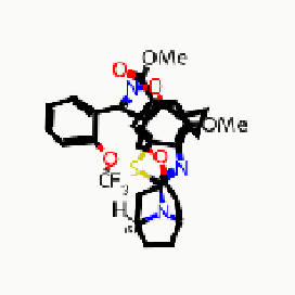 COC(=O)c1cc(OC)c2nc(N3C4CC[C@H]3CC(OCc3c(-c5ccccc5OC(F)(F)F)noc3C3CC3)C4)sc2c1